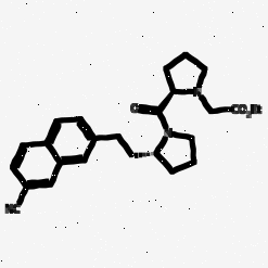 CCOC(=O)CN1CCC[C@@H]1C(=O)N1CCC[C@@H]1CCc1ccc2ccc(C#N)cc2c1